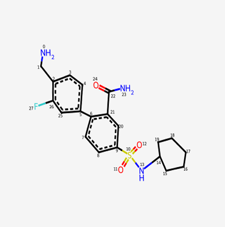 NCc1ccc(-c2ccc(S(=O)(=O)NC3CCCCC3)cc2C(N)=O)cc1F